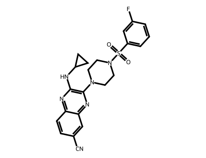 N#Cc1ccc2nc(NC3CC3)c(N3CCN(S(=O)(=O)c4cccc(F)c4)CC3)nc2c1